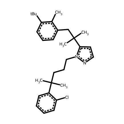 Cc1c(CC(C)(C)c2ccnn2CCCC(C)(C)c2ccccc2Cl)cccc1C(C)(C)C